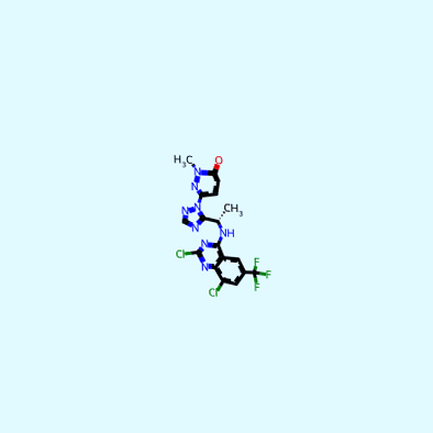 C[C@H](Nc1nc(Cl)nc2c(Cl)cc(C(F)(F)F)cc12)c1ncnn1-c1ccc(=O)n(C)n1